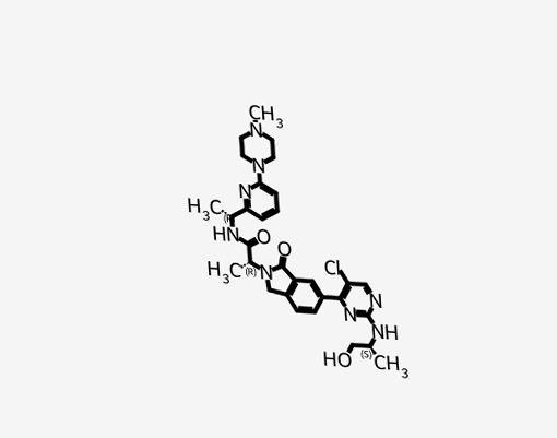 C[C@H](C(=O)N[C@H](C)c1cccc(N2CCN(C)CC2)n1)N1Cc2ccc(-c3nc(N[C@@H](C)CO)ncc3Cl)cc2C1=O